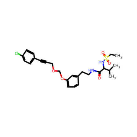 CCS(=O)(=O)NC(C(=O)NCCc1cccc(OCOCC#Cc2ccc(Cl)cc2)c1)C(C)C